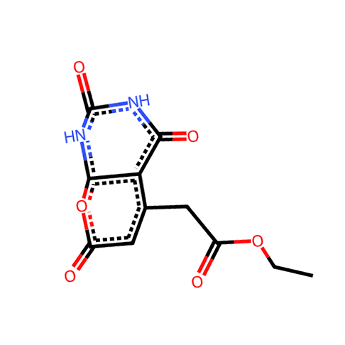 CCOC(=O)Cc1cc(=O)oc2[nH]c(=O)[nH]c(=O)c12